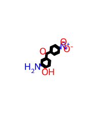 Nc1cc(C(=O)c2ccc([N+](=O)[O-])cc2)ccc1O